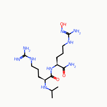 CC(C)N[C@@H](CCCNC(=N)N)C(=O)N[C@@H](CCCNC(N)=NO)C(N)=O